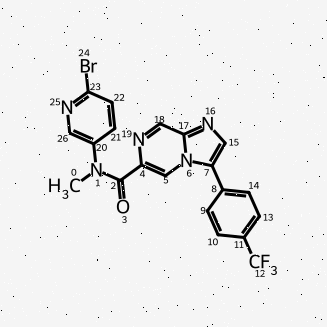 CN(C(=O)c1cn2c(-c3ccc(C(F)(F)F)cc3)cnc2cn1)c1ccc(Br)nc1